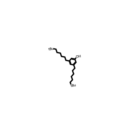 CC(C)(C)CCCCCCc1cc(O)cc(CCCCCCC(C)(C)C)c1